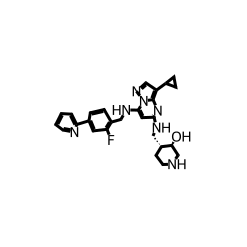 O[C@H]1CNCC[C@@H]1CNc1cc(NCc2ccc(-c3ccccn3)cc2F)n2ncc(C3CC3)c2n1